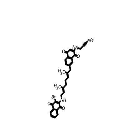 CCCC#CCNC1=CC(=O)c2ccc(C/C(C)=C/CC/C(C)=C/CNC3=C(Br)C(=O)c4ccccc4C3=O)cc2C1=O